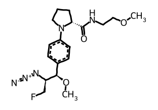 COCCNC(=O)[C@H]1CCCN1c1ccc([C@@H](OC)[C@@H](CF)N=[N+]=[N-])cc1